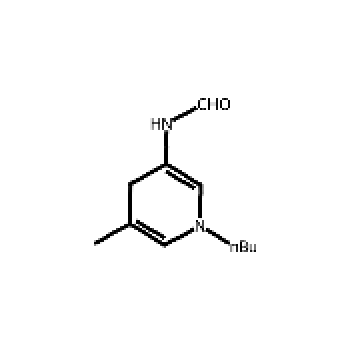 CCCCN1C=C(C)CC(NC=O)=C1